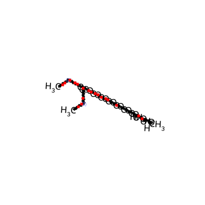 CCCCCCCC/C=C\CCCCCCCCOCC(COCCOCCOCCOCCOCCOCCOCCOCCOCCOCCOCCOCCOCCOC(=O)CNCCOC(=O)CNCCOC)OCCCCCCCC/C=C\CCCCCCCC